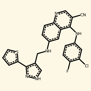 N#Cc1cnc2ccc(NCc3c[nH]nc3-c3cccs3)cc2c1Nc1ccc(F)c(Cl)c1